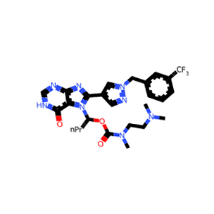 CCCC(OC(=O)N(C)CCN(C)C)n1c(-c2cnn(Cc3cccc(C(F)(F)F)c3)c2)nc2nc[nH]c(=O)c21